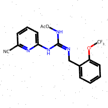 CC(=O)ONC(=NCc1ccccc1OC(F)(F)F)Nc1cccc(C#N)n1